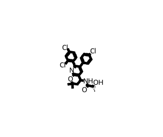 C[C@@H](O)C(=O)NC1CC(C)(C)Oc2nc(-c3ccc(Cl)cc3Cl)c(-c3ccc(Cl)cc3)cc21